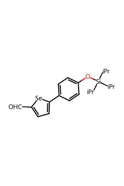 CC(C)[Si](Oc1ccc(-c2ccc(C=O)[se]2)cc1)(C(C)C)C(C)C